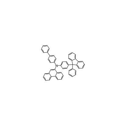 c1ccc(-c2ccc(N(c3ccc(C4(c5ccccc5)c5ccccc5-c5ccccc54)cc3)c3cc4ccccc4c4ccccc34)cc2)cc1